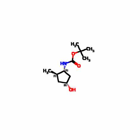 C[C@@H]1C[C@@H](O)C[C@H]1NC(=O)OC(C)(C)C